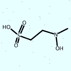 CN(O)CCS(=O)(=O)O